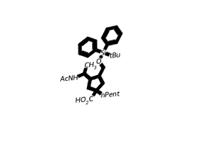 CCCCCC1(C(=O)O)CC(CO[Si](c2ccccc2)(c2ccccc2)C(C)(C)C)C(C(C)NC(C)=O)C1